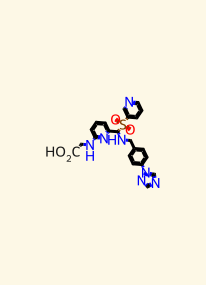 O=C(O)CNc1cccc(C(NCc2ccc(-n3cncn3)cc2)S(=O)(=O)c2cccnc2)n1